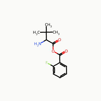 CC(C)(C)C(N)C(=O)OC(=O)c1ccccc1F